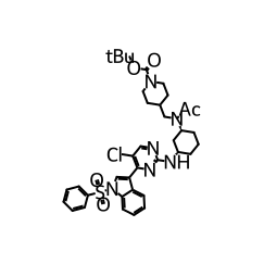 CC(=O)N(CC1CCN(C(=O)OC(C)(C)C)CC1)[C@H]1CCC[C@@H](Nc2ncc(Cl)c(-c3cn(S(=O)(=O)c4ccccc4)c4ccccc34)n2)C1